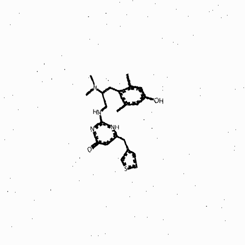 Cc1cc(O)cc(C)c1CC(CNc1nc(=O)cc(Cc2ccsc2)[nH]1)N(C)C